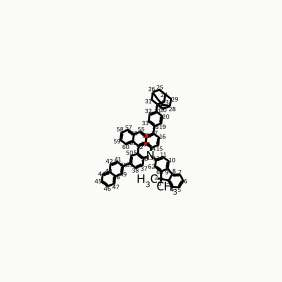 CC1(C)c2ccccc2-c2ccc(N(c3ccc(-c4ccc(C56CC7CC(CC(C7)C5)C6)cc4)cc3)c3ccc(-c4ccc5ccccc5c4)cc3-c3cccc4ccccc34)cc21